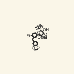 CCc1ccc(C2(OC)O[C@@H](C(=O)[Si](C)(C)C(C)(C)C)[C@@H](O)[C@H](O)[C@H]2O)cc1Cc1ccc2c(c1)OCCO2